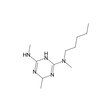 CCCCCN(C)C1=NC(C)N=C(NC)N1